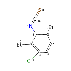 CCc1ccc(Cl)c(CC)c1N=C=S